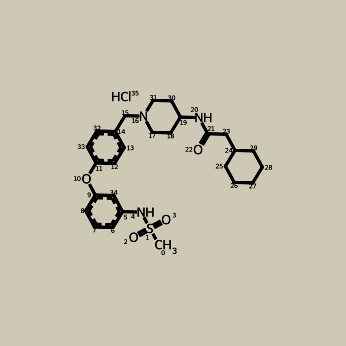 CS(=O)(=O)Nc1cccc(Oc2ccc(CN3CCC(NC(=O)CC4CCCCC4)CC3)cc2)c1.Cl